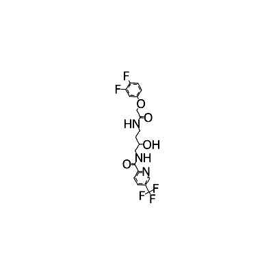 O=C(COc1ccc(F)c(F)c1)NCCC(O)CNC(=O)c1ccc(C(F)(F)F)cn1